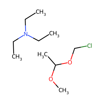 CCN(CC)CC.COC(C)OCCl